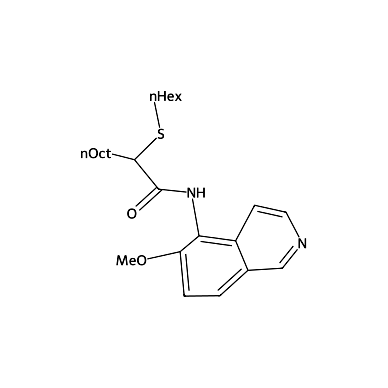 CCCCCCCCC(SCCCCCC)C(=O)Nc1c(OC)ccc2cnccc12